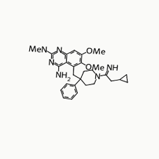 CNc1nc(N)c2c(CC3(c4ccccc4)CCN(C(=N)CC4CC4)CC3)c(OC)c(OC)cc2n1